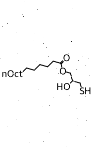 CCCCCCCCCCCCCC(=O)OCC(O)CS